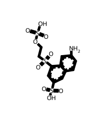 Nc1ccc2cc(S(=O)(=O)O)cc(S(=O)(=O)CCOS(=O)(=O)O)c2c1